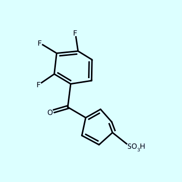 O=C(c1ccc(S(=O)(=O)O)cc1)c1ccc(F)c(F)c1F